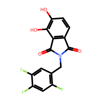 O=C1c2ccc(O)c(O)c2C(=O)N1Cc1cc(F)c(F)cc1F